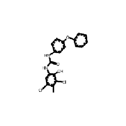 Cc1c(Cl)cc(NC(=O)Nc2ccc(Oc3ccccc3)cc2)c(O)c1Cl